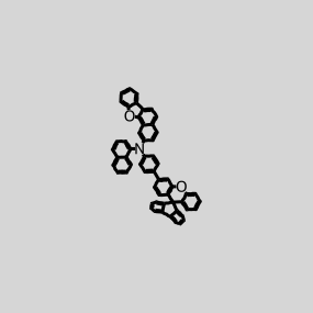 c1ccc2c(c1)Oc1cc(-c3ccc(N(c4ccc5ccc6c7ccccc7oc6c5c4)c4cccc5ccccc45)cc3)ccc1C21c2ccccc2-c2ccccc21